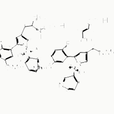 CNCc1cc(-c2cc(OC)ccc2F)n(S(=O)(=O)c2cccnc2)c1.COc1ccc(F)c(-c2cc(CC(NC(=O)O)C(C)(C)C)cn2S(=O)(=O)c2cccnc2)c1.O=C(O)C=CC(=O)O